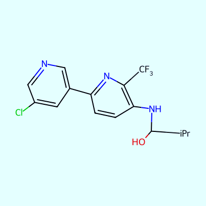 CC(C)C(O)Nc1ccc(-c2cncc(Cl)c2)nc1C(F)(F)F